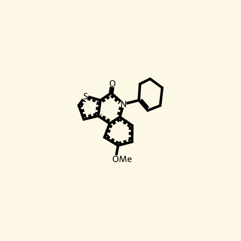 COc1ccc2c(c1)c1ccsc1c(=O)n2C1=CCCCC1